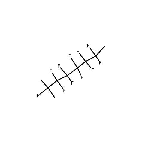 CC(C)(F)C(F)(F)C(F)(F)C(F)(F)C(F)(F)C(C)(F)F